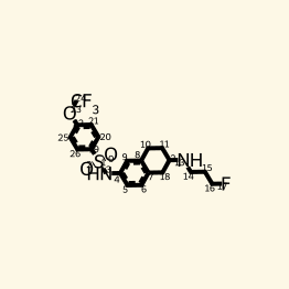 O=S(=O)(Nc1ccc2c(c1)CCC(NCCCF)C2)c1ccc(OC(F)(F)F)cc1